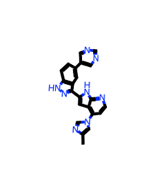 Cc1cn(-c2ccnc3[nH]c(-c4n[nH]c5ccc(-c6cncnc6)cc45)cc23)cn1